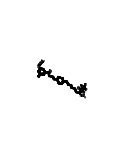 Cc1cc(N=[N+]=[N-])cc(C(=O)CCCC2CCC(CCCCCCC(N)S(=O)(=O)C(F)(F)F)CC2)c1